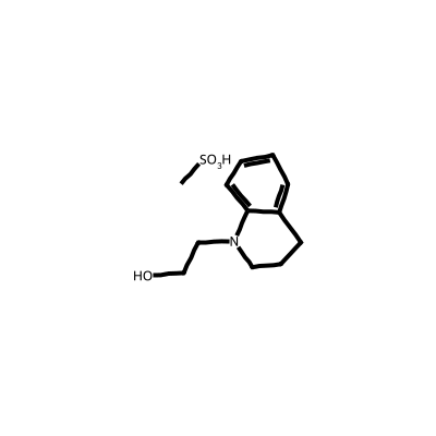 CS(=O)(=O)O.OCCN1CCCc2ccccc21